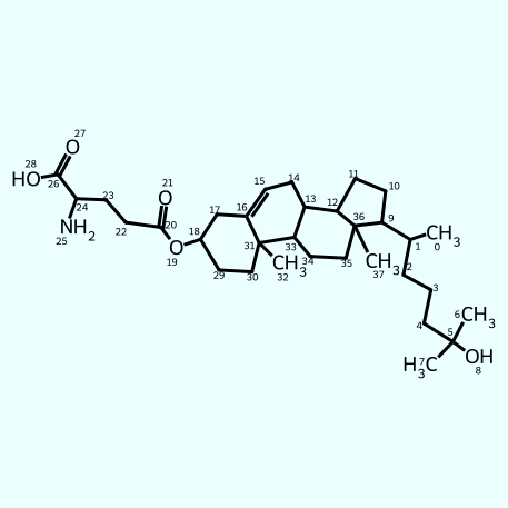 CC(CCCC(C)(C)O)C1CCC2C3CC=C4CC(OC(=O)CCC(N)C(=O)O)CCC4(C)C3CCC12C